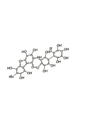 CC(C)(C)c1c(O)c(O)c2c(oc3c(O)c(O)c4[nH]c5c(O)c(-c6c(O)c(O)c(O)c(O)c6O)c(O)c(O)c5ooc4c32)c1O